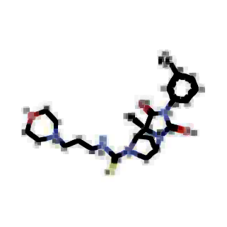 O=C1[C@H]2C3CC(CN3C(=S)NCCCN3CCOCC3)N2C(=O)N1c1cccc(C(F)(F)F)c1